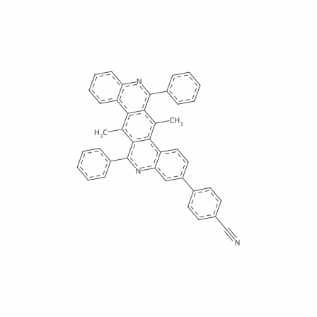 Cc1c2c(-c3ccccc3)nc3cc(-c4ccc(C#N)cc4)ccc3c2c(C)c2c(-c3ccccc3)nc3ccccc3c12